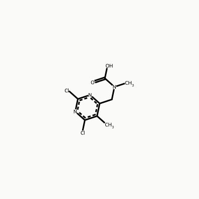 Cc1c(Cl)nc(Cl)nc1CN(C)C(=O)O